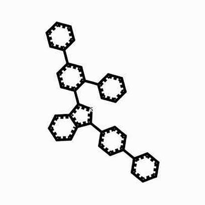 c1ccc(-c2ccc(-c3sc(-c4ccc(-c5ccccc5)cc4-c4ccccc4)c4ccccc34)cc2)cc1